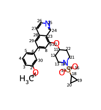 COc1cccc(-c2cc(OC3CCN(S(=O)(=O)C4CC4)CC3)c3cnccc3c2)c1